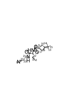 CSCC(NS(=O)(=O)c1ccc(C(C)(C)C)cc1)C(=O)NCCC#N